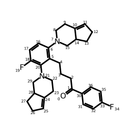 O=C(CCCc1c(N2CCC3=CCCC3C2)ccc(F)c1N1CCC2=CCCC2C1)c1ccc(F)cc1